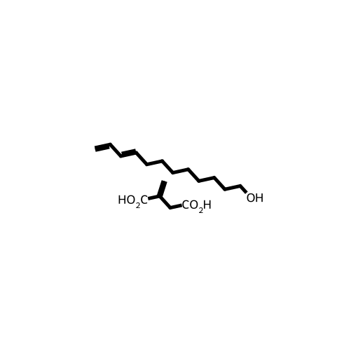 C=C(CC(=O)O)C(=O)O.C=CC=CCCCCCCCCO